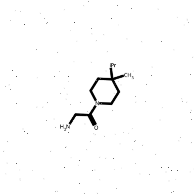 CC(C)C1(C)CCN(C(=O)CN)CC1